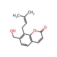 CC(C)=CCc1c(CO)ccc2ccc(=O)oc12